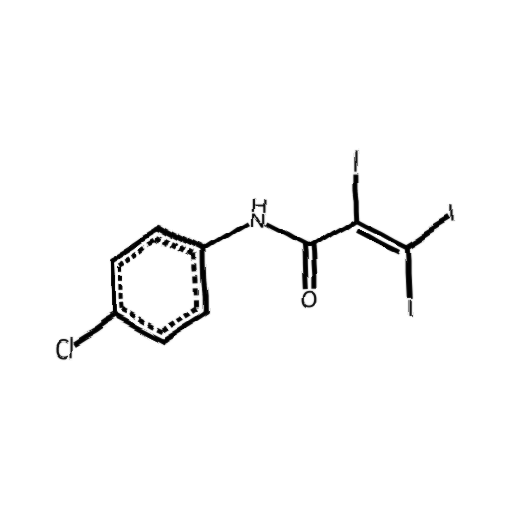 O=C(Nc1ccc(Cl)cc1)C(I)=C(I)I